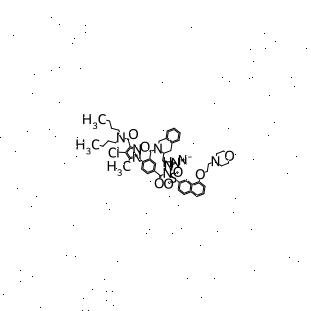 CCCCN(CCCC)C(=O)c1nn(-c2ccc(C(=O)NS(=O)(=O)c3ccc4cccc(OCCN5CCOCC5)c4c3)cc2C(=O)N2Cc3ccccc3CC2CN=[N+]=[N-])c(C)c1Cl